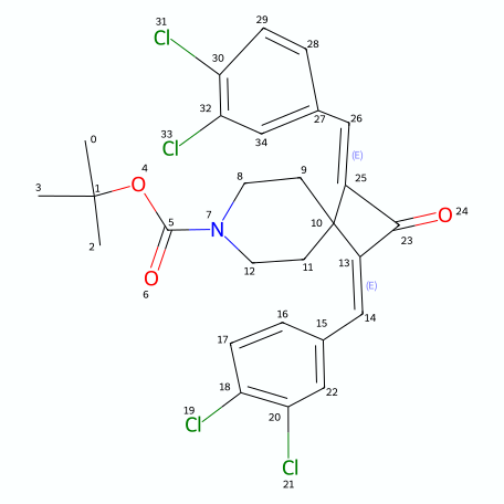 CC(C)(C)OC(=O)N1CCC2(CC1)/C(=C\c1ccc(Cl)c(Cl)c1)C(=O)/C2=C/c1ccc(Cl)c(Cl)c1